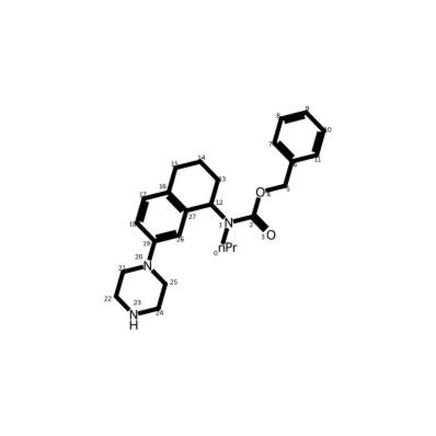 CCCN(C(=O)OCc1ccccc1)C1CCCc2ccc(N3CCNCC3)cc21